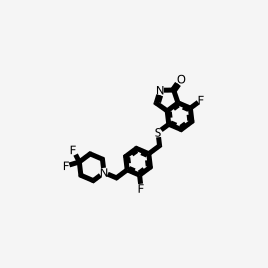 O=C1N=Cc2c(SCc3ccc(CN4CCC(F)(F)CC4)c(F)c3)ccc(F)c21